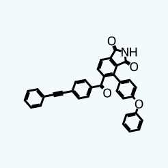 O=C1NC(=O)c2c1ccc(C(=O)c1ccc(C#Cc3ccccc3)cc1)c2-c1ccc(Oc2ccccc2)cc1